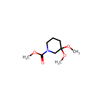 COC(=O)N1CCCC(OC)(OC)C1